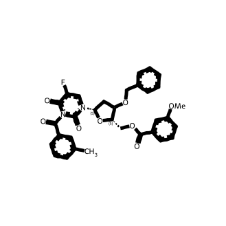 COc1cccc(C(=O)OC[C@@H]2O[C@H](n3cc(F)c(=O)n(C(=O)c4cccc(C)c4)c3=O)CC2OCc2ccccc2)c1